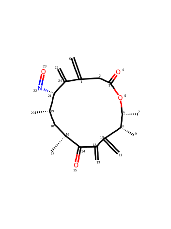 C=C1CC(=O)O[C@H](C)[C@H](C)C(=C)C(=C)C(=O)[C@H](C)C[C@H](C)[C@H](N=O)C1=C